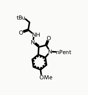 CCCCCN1C(=O)C(=NNC(=O)CC(C)(C)C)c2ccc(OC)cc21